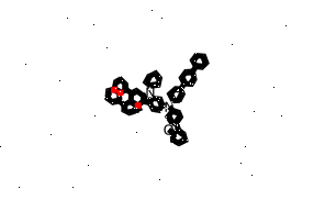 CCc1c(/C=C(/c2ccccc2)c2ccccc2-c2ccccc2)n(-c2ccccc2)c2cc(N(c3ccc(-c4ccc(-c5ccccc5)cc4)cc3)c3ccc4c(c3)oc3ccccc34)ccc12